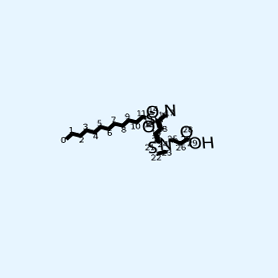 CCCCCCCCCCCCS(=O)(=O)C(C#N)=CC=C1SCCN1CCC(=O)O